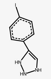 Ic1ccc(C2=CNNN2)cc1